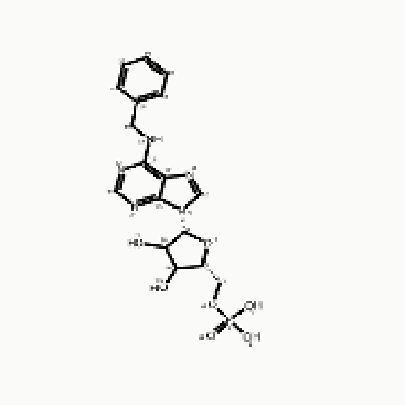 O=P(O)(O)OC[C@H]1O[C@@H](n2cnc3c(NCc4ccccc4)ncnc32)C(O)C1O